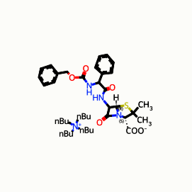 CC1(C)S[C@@H]2C(NC(=O)C(NC(=O)OCc3ccccc3)c3ccccc3)C(=O)N2[C@H]1C(=O)[O-].CCCC[N+](CCCC)(CCCC)CCCC